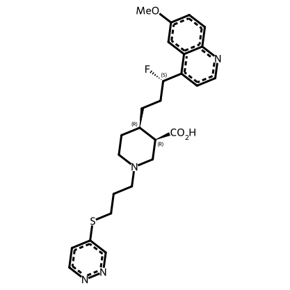 COc1ccc2nccc([C@@H](F)CC[C@@H]3CCN(CCCSc4ccnnc4)C[C@@H]3C(=O)O)c2c1